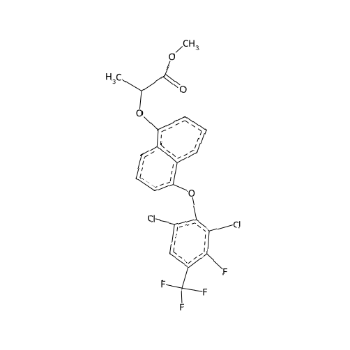 COC(=O)C(C)Oc1cccc2c(Oc3c(Cl)cc(C(F)(F)F)c(F)c3Cl)cccc12